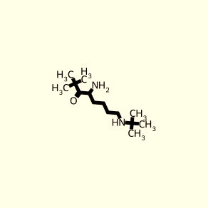 CC(C)(C)NCCCCC(N)C(=O)C(C)(C)C